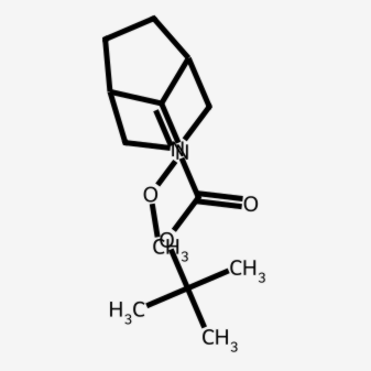 CON=C1C2CCC1CN(C(=O)OC(C)(C)C)C2